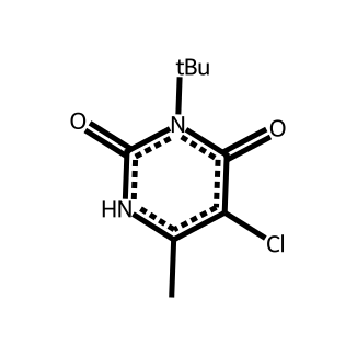 Cc1[nH]c(=O)n(C(C)(C)C)c(=O)c1Cl